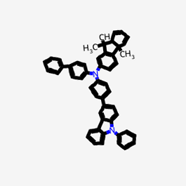 CC1(C)c2cc(N(c3ccc(-c4ccccc4)cc3)c3ccc(-c4ccc5c(c4)c4ccccc4n5-c4ccccc4)cc3)ccc2C2(C)C=CC=CC12